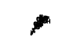 CCCCCCS(=O)(=O)c1nnc(N2C(=O)N(C)C(COC)C2O)s1